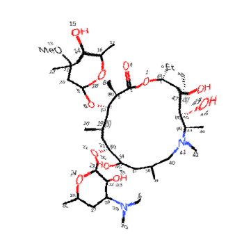 CC[C@H]1OC(=O)[C@H](C)[C@@H](OC2CC(C)(OC)C(O)C(C)O2)[C@H](C)[C@@H](OC2OC(C)CC(N(C)C)C2O)[C@](C)(O)CC(C)CN(C)[C@H](C)[C@@H](O)[C@]1(C)O